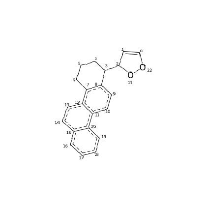 C1=CC(C2CCCc3c2ccc2c3ccc3ccccc32)OO1